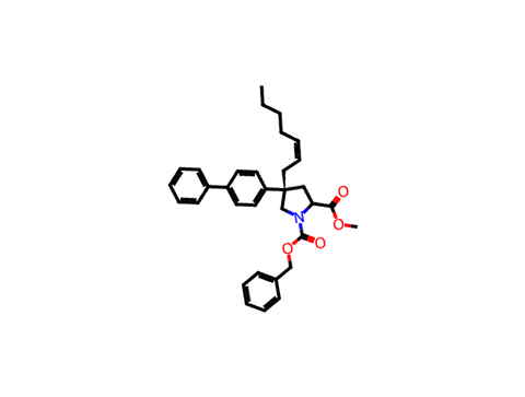 CCCC/C=C\C[C@@]1(c2ccc(-c3ccccc3)cc2)CC(C(=O)OC)N(C(=O)OCc2ccccc2)C1